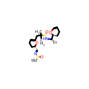 CC[C@H](N[S@@+]([O-])C(C)(C)CC1=CCC[C@@H](/C=N/[S@@+]([O-])C(C)(C)C)O1)[C@@H]1CCC=CO1